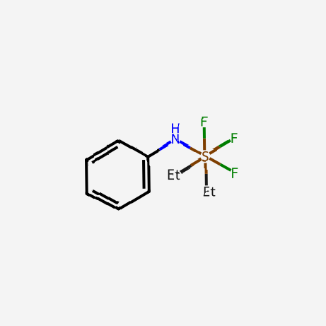 CCS(F)(F)(F)(CC)Nc1ccccc1